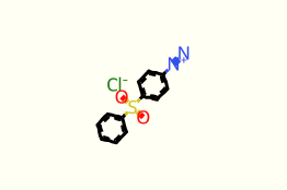 N#[N+]c1ccc(S(=O)(=O)c2ccccc2)cc1.[Cl-]